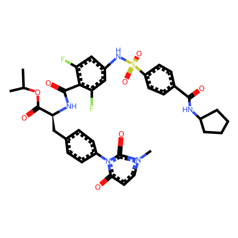 CC(C)OC(=O)[C@H](Cc1ccc(-n2c(=O)ccn(C)c2=O)cc1)NC(=O)c1c(F)cc(NS(=O)(=O)c2ccc(C(=O)NC3CCCC3)cc2)cc1F